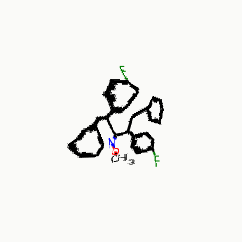 CON=C(C(Cc1ccccc1)c1ccc(F)cc1)C(Cc1ccccc1)c1ccc(F)cc1